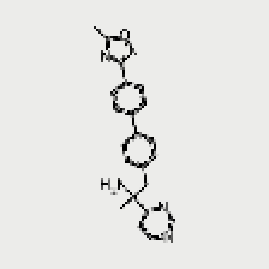 Cc1nc(-c2ccc(-c3ccc(CC(C)(N)c4ccncn4)cc3)cc2)no1